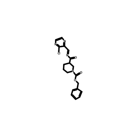 O=C(N=Cc1nccnc1Cl)C1CCCN(C(=O)OCc2ccccc2)C1